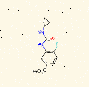 O=C(Nc1cc(C(=O)O)ccc1F)NC1CC1